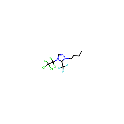 CCCCN1N=CN(C(Cl)(Cl)C(Cl)(Cl)Cl)C1C(F)(F)F